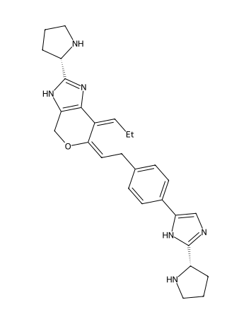 CC/C=C1\C(=C/Cc2ccc(-c3cnc([C@@H]4CCCN4)[nH]3)cc2)OCc2[nH]c([C@@H]3CCCN3)nc21